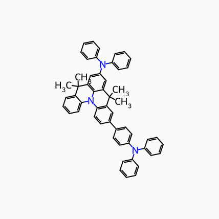 CC1(C)c2ccccc2N2c3ccc(-c4ccc(N(c5ccccc5)c5ccccc5)cc4)cc3C(C)(C)c3cc(N(c4ccccc4)c4ccccc4)cc1c32